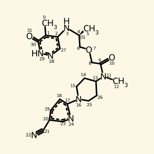 Cc1c(N[C@@H](C)COCC(=O)N(C)C2CCN(c3ccc(C#N)cn3)CC2)cn[nH]c1=O